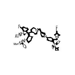 COC(=O)N[C@H]1CCC[C@@H]1[C@](CNC(C)=O)(c1cccc(F)c1)C1CCN(CC2CN(c3ccc(S(=O)(=O)C4CCC4)c(CN4CC(F)C4)c3)C2)CC1